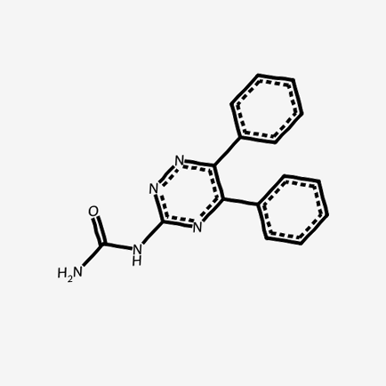 NC(=O)Nc1nnc(-c2ccccc2)c(-c2ccccc2)n1